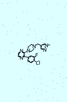 Cn1cc(CN2CCN(c3nccnc3-c3ccc(Cl)c(F)c3)CC2)cn1